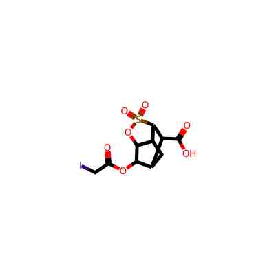 O=C(CI)OC1C2CC3C1OS(=O)(=O)C3C2C(=O)O